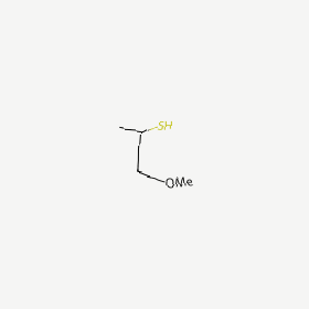 COCC(C)S